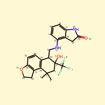 CC1(C)CC(O)(C(F)(F)F)C(CNc2cccc3c2CC(=O)N3)c2ccc3c(c21)CCO3